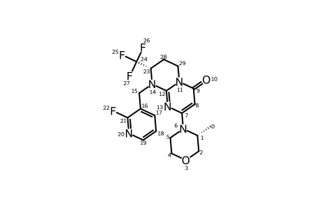 C[C@@H]1COCCN1c1cc(=O)n2c(n1)N(Cc1cccnc1F)[C@H](C(F)(F)F)CC2